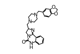 O=C1Nc2ccccc2C2=NC(CN3CCN(Cc4ccc5c(c4)OCO5)CC3)CN12